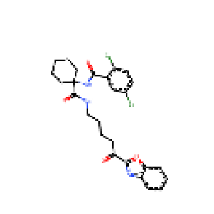 O=C(CCCCNC(=O)C1(NC(=O)c2cc(Cl)ccc2Cl)CCCCC1)c1nc2ccccc2o1